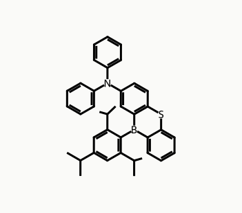 CC(C)c1cc(C(C)C)c(B2c3ccccc3Sc3ccc(N(c4ccccc4)c4ccccc4)cc32)c(C(C)C)c1